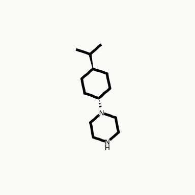 CC(C)[C@H]1CC[C@H](N2CCNCC2)CC1